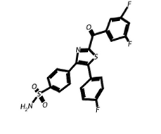 NS(=O)(=O)c1ccc(-c2nc(C(=O)c3cc(F)cc(F)c3)sc2-c2ccc(F)cc2)cc1